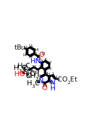 CCOC(=O)c1cc2c(-c3cccc(NC(=O)c4ccc(C(C)(C)C)cc4)c3CCC(C)(C)[Si](C)(C)O)cn(C)c(=O)c2[nH]1